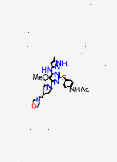 COc1c(Nc2cc(C)[nH]n2)nc(Sc2ccc(NC(C)=O)cc2)nc1N1CCC(CCN2CCOCC2)CC1